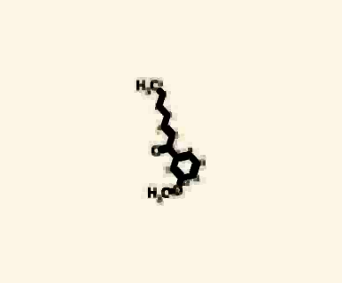 CCCC/C=C/C(=O)c1cccc(OC)c1